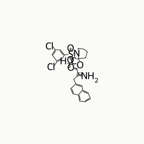 CC1(OC(=O)[C@@H](N)Cc2ccc3ccccc3c2)CCCCN1S(=O)(=O)c1cc(Cl)cc(Cl)c1